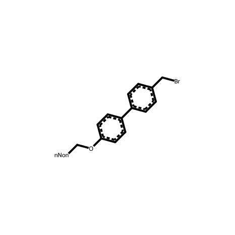 CCCCCCCCCCOc1ccc(-c2ccc(CBr)cc2)cc1